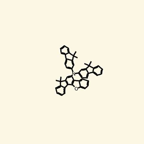 CC1(C)c2ccccc2-c2ccc(N(c3ccc4c(c3)C(C)(C)c3ccccc3-4)c3cc4c(c5oc6ccccc6c35)-c3ccccc3C4(C)C)cc21